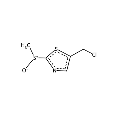 C[S+]([O-])c1ncc(CCl)s1